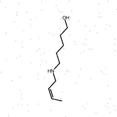 C/C=C\CNCCCCCO